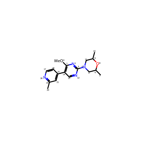 COc1nc(N2CC(C)OC(C)C2)ncc1-c1ccnc(C)c1